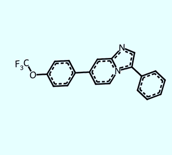 FC(F)(F)Oc1ccc(-c2ccn3c(-c4ccccc4)cnc3c2)cc1